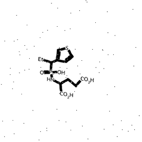 CCC(c1ccsc1)P(=O)(O)NC(CCC(=O)O)C(=O)O